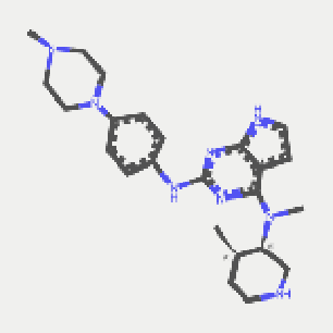 C[C@@H]1CCNC[C@@H]1N(C)c1nc(Nc2ccc(N3CCN(C)CC3)cc2)nc2[nH]ccc12